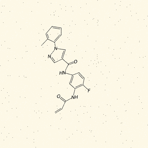 C=CC(=O)Nc1cc(NC(=O)c2cnn(-c3ccccc3C)c2)ccc1F